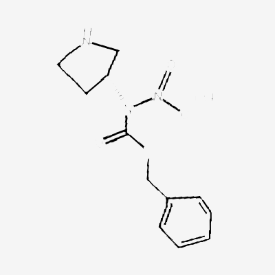 Cl.O=C(OCc1ccccc1)N([C@@H]1CCNC1)[N+](=O)[O-]